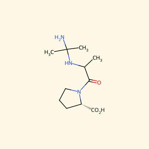 CC(NC(C)(C)N)C(=O)N1CCC[C@H]1C(=O)O